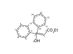 CCOC(=O)C=P(O)(c1ccccc1)c1ccccc1